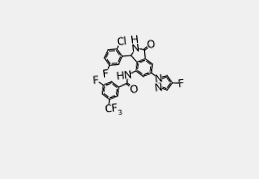 O=C(Nc1cc(-n2cc(F)cn2)cc2c1C(c1cc(F)ccc1Cl)NC2=O)c1cc(F)cc(C(F)(F)F)c1